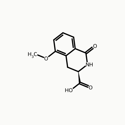 COc1cccc2c1C[C@H](C(=O)O)NC2=O